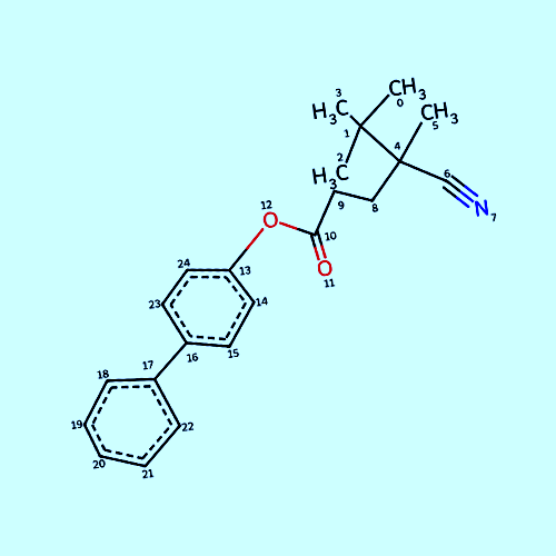 CC(C)(C)C(C)(C#N)CCC(=O)Oc1ccc(-c2ccccc2)cc1